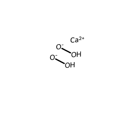 [Ca+2].[O-]O.[O-]O